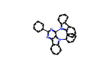 c1ccc(-c2nc(-n3c4ccccc4c4ccccc43)c3c(n2)c2ccccc2n3-c2ccccc2)cc1